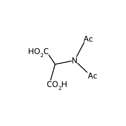 CC(=O)N(C(C)=O)C(C(=O)O)C(=O)O